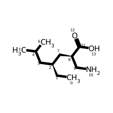 CC[C@@H](CC(C)C)C[C@H](CN)C(=O)O